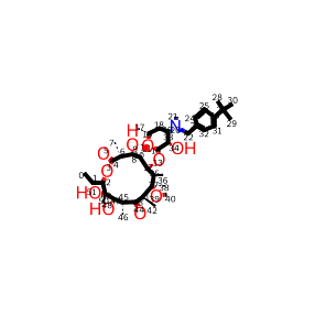 CCC1OC(=O)[C@H](C)[C@H](O)[C@H](C)[C@@H](OC2O[C@H](C)C[C@H](N(C)Cc3ccc(C(C)(C)C)cc3)[C@H]2O)[C@@H](C)[C@@](C)(OC)[C@@H](C)C(=O)[C@H](C)[C@@H](O)[C@]1(C)O